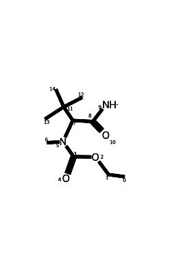 CCOC(=O)N(C)C(C([NH])=O)C(C)(C)C